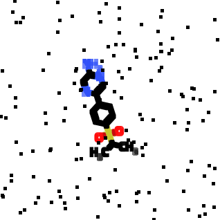 CC(C)S(=O)(=O)c1ccc(-c2cnc(N)cn2)cc1